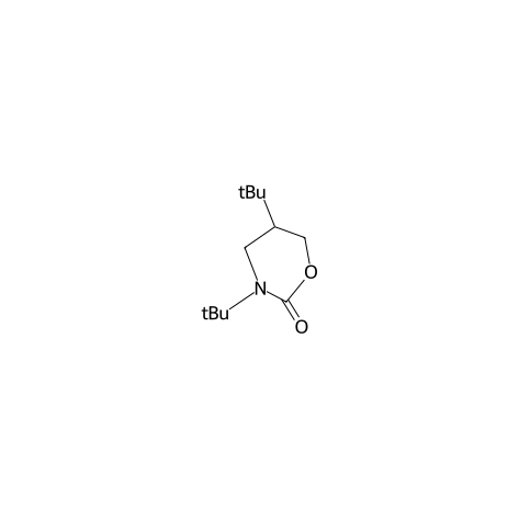 CC(C)(C)C1COC(=O)N(C(C)(C)C)C1